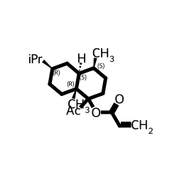 C=CC(=O)OC1(C(C)=O)CC[C@H](C)[C@@H]2C[C@H](C(C)C)CC[C@]21C